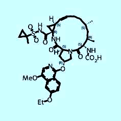 CCOc1ccc2c(O[C@@H]3C[C@H]4C(=O)N[C@]5(C(=O)NS(=O)(=O)C6(C)CC6)C[C@H]5C=CCC[C@H](C)C[C@@H](C)[C@H](NC(=O)O)C(=O)N4C3)ncc(OC)c2c1